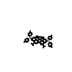 Cc1ccc(N(c2ccc(C)cc2)c2ccc3c4c(cc(C(C)C)c3c2)-c2cc(C(C)C)c3cc(N(c5ccc(C)cc5)c5ccc(C)cc5)ccc3c2C42c3ccccc3-c3ccccc32)cc1